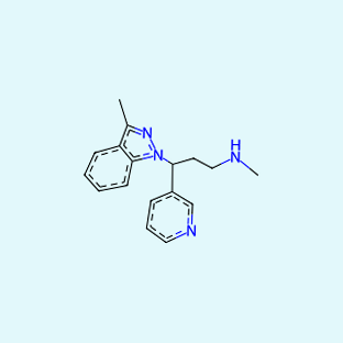 CNCCC(c1cccnc1)n1nc(C)c2ccccc21